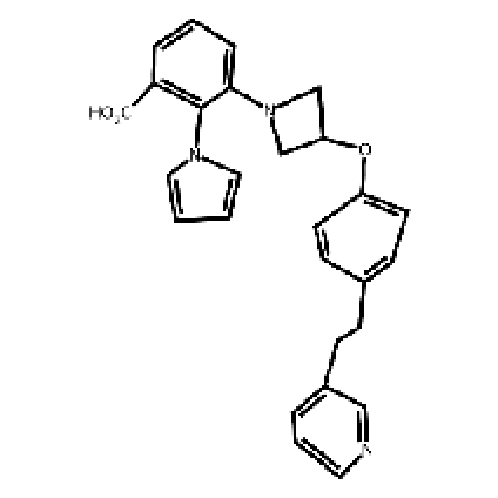 O=C(O)c1cccc(N2CC(Oc3ccc(CCc4cccnc4)cc3)C2)c1-n1cccc1